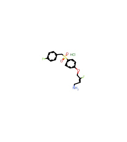 Cl.NC/C=C(/F)COc1ccc(S(=O)(=O)Cc2ccc(F)cc2)cc1